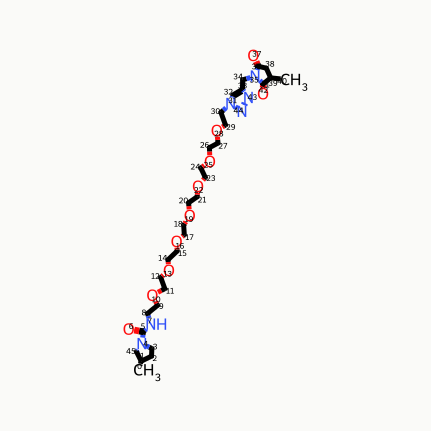 CC1CCN(C(=O)NCCOCCOCCOCCOCCOCCOCCOCCn2cc(CN3C(=O)CC(C)C3=O)nn2)C1